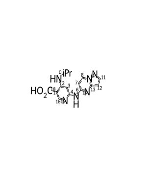 CC(C)Nc1cc(Nc2ccn3nccc3n2)ncc1C(=O)O